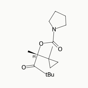 CC(C)(C)C(=O)[C@](C)(OC(=O)N1CCCC1)C1(C)CC1